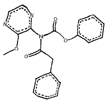 COc1nccnc1N(C(=O)Cc1ccccc1)C(=O)Oc1ccccc1